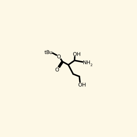 CC(C)(C)OC(=O)C(CCO)C(N)O